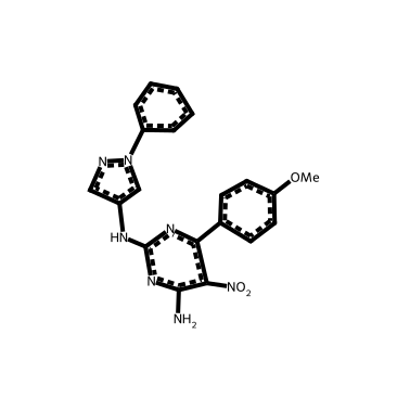 COc1ccc(-c2nc(Nc3cnn(-c4ccccc4)c3)nc(N)c2[N+](=O)[O-])cc1